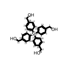 OCc1cc[c]([Sn]([c]2ccc(CO)cc2)([c]2ccc(CO)cc2)[c]2ccc(CO)cc2)cc1